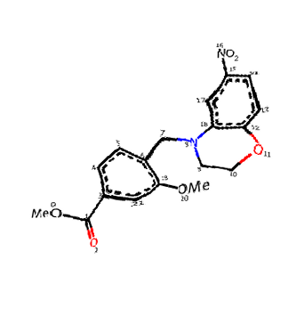 COC(=O)c1ccc(CN2CCOc3ccc([N+](=O)[O-])cc32)c(OC)c1